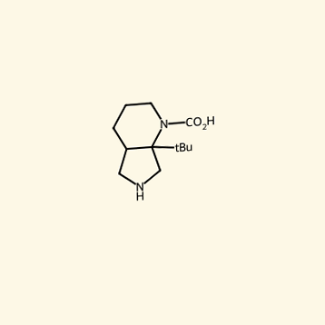 CC(C)(C)C12CNCC1CCCN2C(=O)O